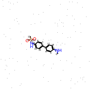 CNc1ccc(-c2ccc(NS(C)(=O)=O)cc2)cc1